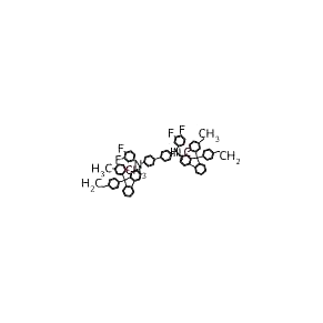 C=Cc1ccc(C2(c3cc(C)ccc3C)c3ccccc3-c3ccc(N(c4ccc(-c5ccc(N(c6ccc(F)c(F)c6)c6ccc7c(c6)C(c6ccc(C=C)cc6)(c6cc(CC)ccc6C)c6ccccc6-7)cc5)cc4)c4ccc(F)c(F)c4)cc32)cc1